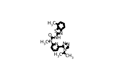 Cc1cccc2nc(NC(=O)N(C)c3cccc(-c4nncn4C(C)C)n3)sc12